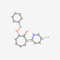 O=c1c(OCc2ccccc2)ccccc1-c1ccc(F)cn1